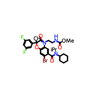 COC(=O)NCCN1C(=O)C(C)(c2cc(F)cc(F)c2)Oc2cc(Br)c(C(=O)N(C(C)C)C3CCCCC3)cc21